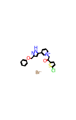 O=C(C[n+]1cccc(-c2cc(COc3ccccc3)n[nH]2)c1)c1ccc(Cl)s1.[Br-]